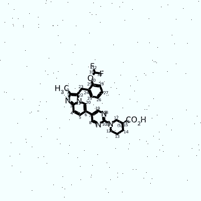 Cc1nc2ccc(-c3cnc(N4CCC[C@H](C(=O)O)C4)nc3)cn2c1Cc1ccccc1OC(F)F